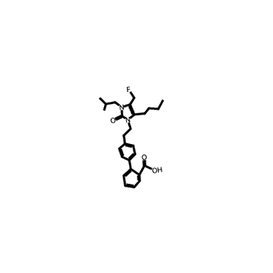 CCCCc1c(CF)n(CC(C)C)c(=O)n1CCc1ccc(-c2ccccc2C(=O)O)cc1